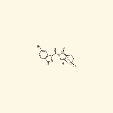 O=C(c1n[nH]c2ccc(Br)cc12)N1C[C@@H]2C[C@H]3CCC2[C@@H]1C3